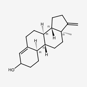 C=C1CC[C@H]2[C@@H]3CCC4=CC(O)CC[C@@H]4[C@H]3CC[C@]12C